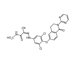 N#CC(=NNc1cc(Cl)c(Oc2ccc3c(c2)CCN(c2ncccn2)C3=O)c(Cl)c1)C(=O)NC(=O)O